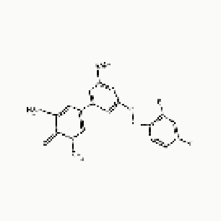 CSc1cc(OCc2ccc(F)cc2F)cc(-c2cc(C)c(=O)n(C)c2)c1